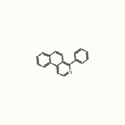 c1ccc(-c2nccc3c2ccc2ccccc23)cc1